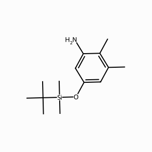 Cc1cc(O[Si](C)(C)C(C)(C)C)cc(N)c1C